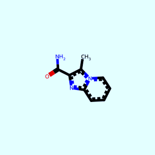 Cc1c(C(N)=O)nc2ccccn12